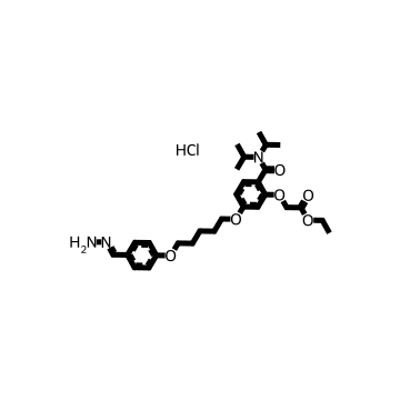 CCOC(=O)COc1cc(OCCCCCOc2ccc(C=NN)cc2)ccc1C(=O)N(C(C)C)C(C)C.Cl